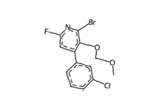 COCOc1c(-c2cc[c]c(Cl)c2)cc(F)nc1Br